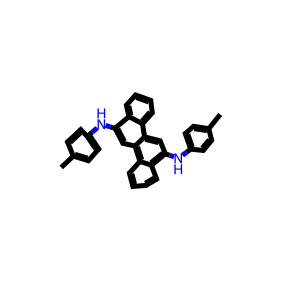 Cc1ccc(Nc2cc3c4ccccc4c(Nc4ccc(C)cc4)cc3c3ccccc23)cc1